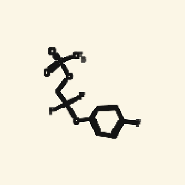 O=S(=O)(OCC(F)(F)Oc1ccc(F)cc1)C(F)(F)F